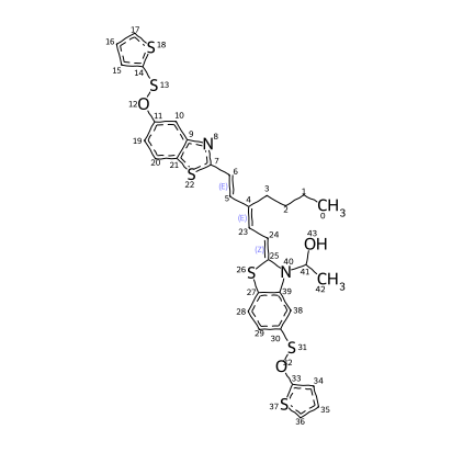 CCCCC(/C=C/c1nc2cc(OSc3cccs3)ccc2s1)=C\C=C1/Sc2ccc(SOc3cccs3)cc2N1C(C)O